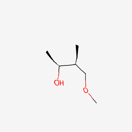 COC[C@H](C)[C@H](C)O